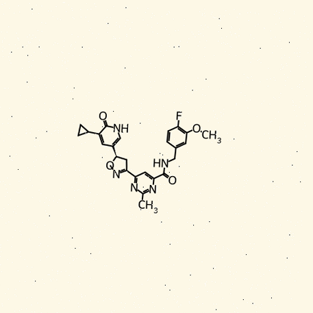 COc1cc(CNC(=O)c2cc(C3=NO[C@@H](c4c[nH]c(=O)c(C5CC5)c4)C3)nc(C)n2)ccc1F